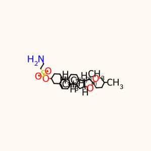 CC1CC[C@@]2(OC1)O[C@H]1C[C@H]3[C@@H]4CC=C5CC(OS(=O)(=O)CCN)CC[C@]5(C)[C@H]4CC[C@]3(C)[C@H]1[C@@H]2C